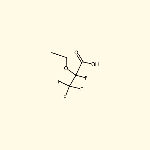 CCOC(F)(C(=O)O)C(F)(F)F